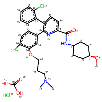 CO[C@H]1CC[C@@H](NC(=O)c2ccc(-c3ccccc3Cl)c(-c3ccc(Cl)c(OCCCN(C)C)c3)n2)CC1.Cl.O=C(O)O